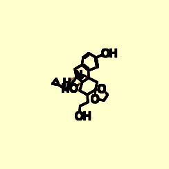 OCC[C@H]1C[C@@]2(O)[C@H]3Cc4ccc(O)cc4[C@@]2(CCN3CC2CC2)CC12OCCO2